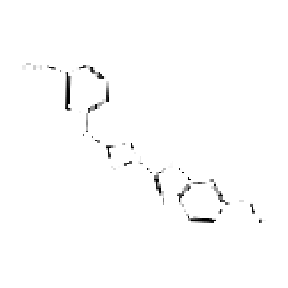 CCCCCc1cccc(OC2CN(c3nc4ccc(CO)cc4o3)C2)c1